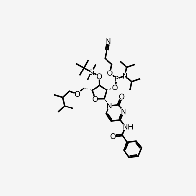 CC(C)C(C)COC[C@H]1O[C@@H](n2ccc(NC(=O)c3ccccc3)nc2=O)[C@@H](OP(OCCC#N)N(C(C)C)C(C)C)C1O[Si](C)(C)C(C)(C)C